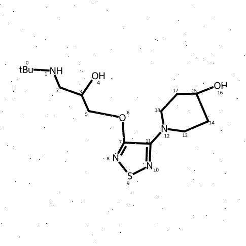 CC(C)(C)NCC(O)COc1nsnc1N1CCC(O)CC1